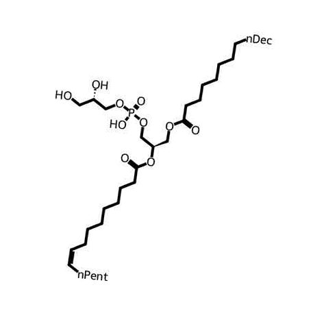 CCCCC/C=C\CCCCCCCC(=O)O[C@H](COC(=O)CCCCCCCCCCCCCCCCC)COP(=O)(O)OC[C@@H](O)CO